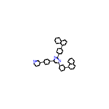 c1cncc(-c2ccc(-c3cc(-c4cccc(-c5cccc6ccccc56)c4)nc(-c4ccc(-c5cccc6ccccc56)cc4)n3)cc2)c1